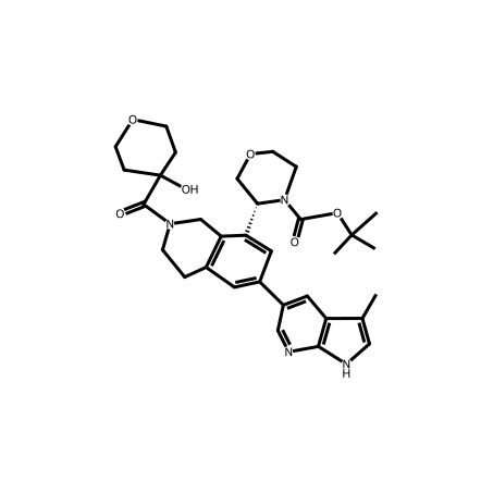 Cc1c[nH]c2ncc(-c3cc4c(c([C@@H]5COCCN5C(=O)OC(C)(C)C)c3)CN(C(=O)C3(O)CCOCC3)CC4)cc12